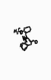 COc1ccccc1-c1nc2cnccc2cc1C=O